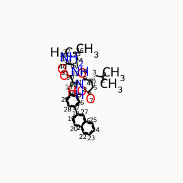 CC(C)C[C@H](CC(=O)O)C(=O)N[C@H](Cc1ccc(-c2ccc3ccccc3c2)cc1)C(=O)N[C@@H](CC(C)C)C(N)=O